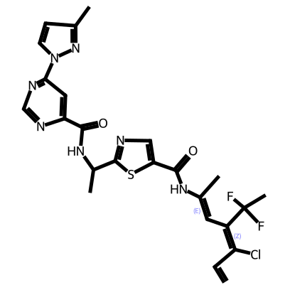 C=C/C(Cl)=C(\C=C(/C)NC(=O)c1cnc(C(C)NC(=O)c2cc(-n3ccc(C)n3)ncn2)s1)C(C)(F)F